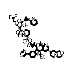 CCn1c(-c2cc([C@@H]3CCN4CCOCC4C3)cnc2[C@H](C)OC)c(CC(C)(C)COC(=O)[C@@H]2CCCN(C(=O)[C@H](COCC(F)F)NC(=O)[C@@H]3C[C@H]3c3ccccn3)N2)c2cc(-c3cscn3)ccc21